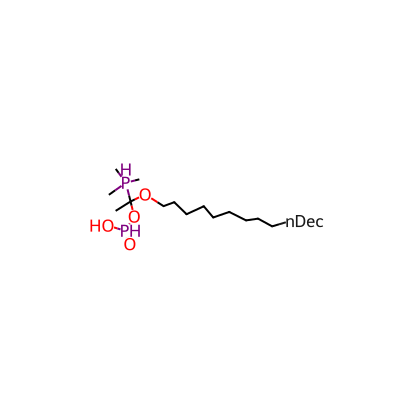 CCCCCCCCCCCCCCCCCCCOC(C)(O[PH](=O)O)[PH](C)(C)C